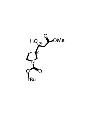 COC(=O)C[C@@H](O)[C@H]1CCN(C(=O)OC(C)(C)C)C1